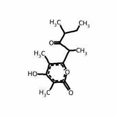 CCC(C)C(=O)C(C)c1oc(=O)c(C)c(O)c1C